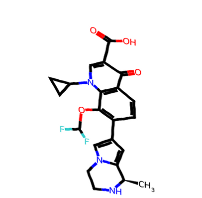 C[C@H]1NCCn2cc(-c3ccc4c(=O)c(C(=O)O)cn(C5CC5)c4c3OC(F)F)cc21